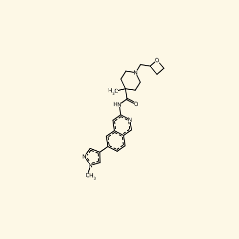 Cn1cc(-c2ccc3cnc(NC(=O)C4(C)CCN(CC5CCO5)CC4)cc3c2)cn1